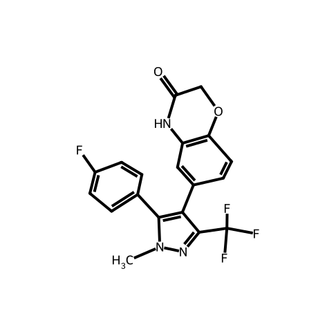 Cn1nc(C(F)(F)F)c(-c2ccc3c(c2)NC(=O)CO3)c1-c1ccc(F)cc1